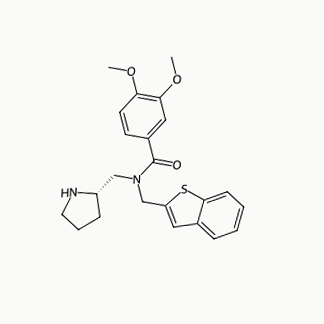 COc1ccc(C(=O)N(Cc2cc3ccccc3s2)C[C@@H]2CCCN2)cc1OC